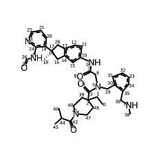 CCC1(C(=O)N(CC(=O)Nc2ccc3c(c2)C[C@@](C)(c2cccnc2NC=O)C3)Cc2ccccc2CNC)CCN(C(=O)C(C)C)CC1